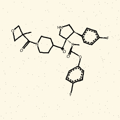 CN(C(=O)Oc1ccc(F)cc1)[C@]1(C(=O)C2CCN(C(=O)C3(C)COC3)CC2)CNC[C@H]1c1ccc(F)cc1